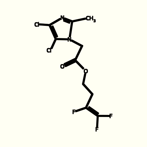 Cc1nc(Cl)c(Cl)n1CC(=O)OCCC(F)=C(F)F